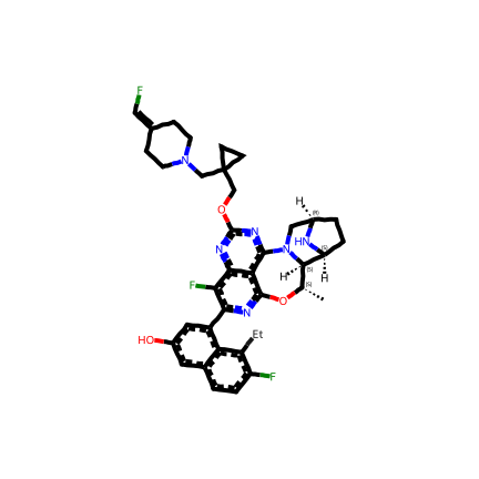 CCc1c(F)ccc2cc(O)cc(-c3nc4c5c(nc(OCC6(CN7CCC(=CF)CC7)CC6)nc5c3F)N3C[C@H]5CC[C@H](N5)[C@H]3[C@H](C)O4)c12